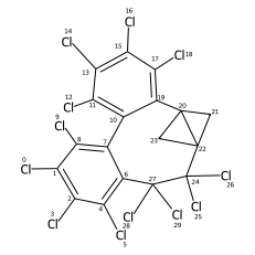 Clc1c(Cl)c(Cl)c2c(c1Cl)-c1c(Cl)c(Cl)c(Cl)c(Cl)c1C13CC1(C3)C(Cl)(Cl)C2(Cl)Cl